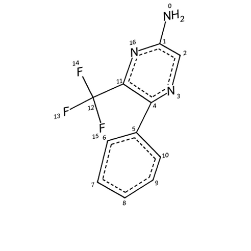 Nc1cnc(-c2ccccc2)c(C(F)(F)F)n1